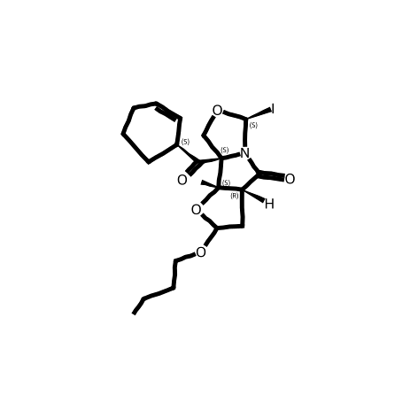 CCCCOC1C[C@H]2C(=O)N3[C@H](I)OC[C@@]3(C(=O)[C@@H]3C=CCCC3)[C@@]2(C)O1